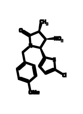 COc1ccc(CN2C(=O)[C@@H](C)[C@H]([N+](=O)[O-])[C@H]2c2ccc(Cl)s2)cc1